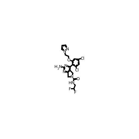 Nc1nc2c(c(-c3c(Cl)cc(Cl)cc3OCCn3cccn3)n1)CN(C(=O)NCC(F)F)C2